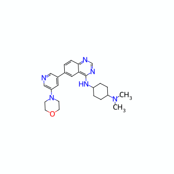 CN(C)C1CCC(Nc2ncnc3ccc(-c4cncc(N5CCOCC5)c4)cc23)CC1